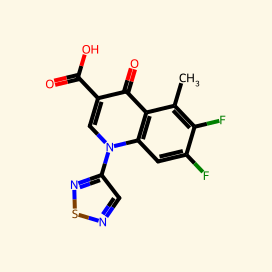 Cc1c(F)c(F)cc2c1c(=O)c(C(=O)O)cn2-c1cnsn1